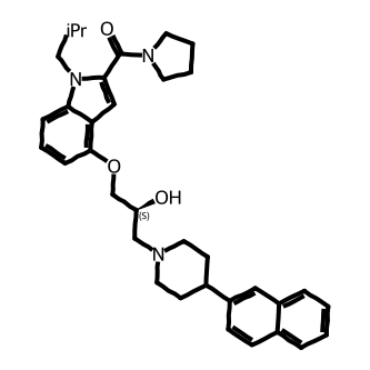 CC(C)Cn1c(C(=O)N2CCCC2)cc2c(OC[C@@H](O)CN3CCC(c4ccc5ccccc5c4)CC3)cccc21